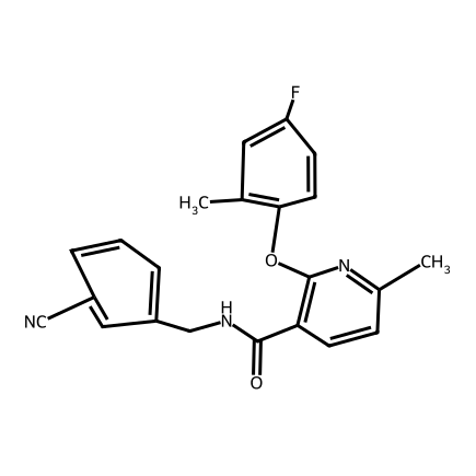 Cc1ccc(C(=O)NCc2cccc(C#N)c2)c(Oc2ccc(F)cc2C)n1